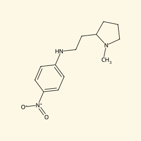 CN1CCCC1CCNc1ccc([N+](=O)[O-])cc1